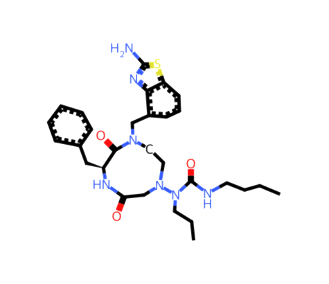 CCCCNC(=O)N(CCC)N1CCN(Cc2cccc3sc(N)nc23)C(=O)[C@H](Cc2ccccc2)NC(=O)C1